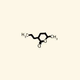 CCCC1CCC(C)OC1=O